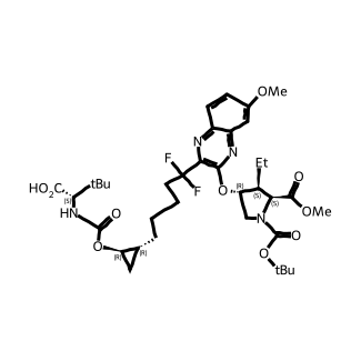 CC[C@@H]1[C@@H](Oc2nc3cc(OC)ccc3nc2C(F)(F)CCCC[C@@H]2C[C@H]2OC(=O)N[C@H](C(=O)O)C(C)(C)C)CN(C(=O)OC(C)(C)C)[C@@H]1C(=O)OC